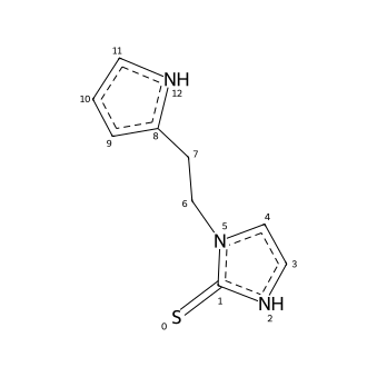 S=c1[nH]ccn1CCc1ccc[nH]1